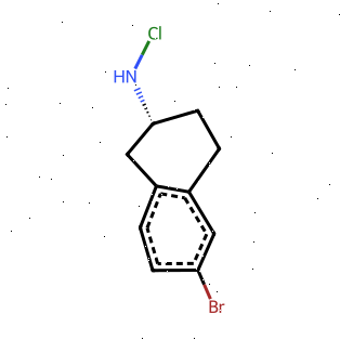 ClN[C@@H]1CCc2cc(Br)ccc2C1